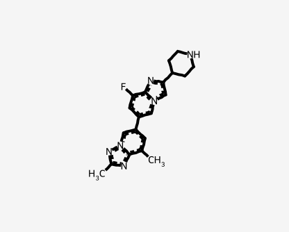 Cc1nc2c(C)cc(-c3cc(F)c4nc(C5CCNCC5)cn4c3)cn2n1